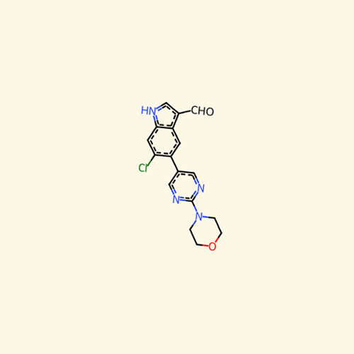 O=Cc1c[nH]c2cc(Cl)c(-c3cnc(N4CCOCC4)nc3)cc12